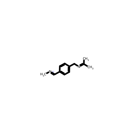 C/N=C/c1ccc(CN=C(C)C)cc1